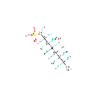 O=S(=O)([O-])C(F)C(F)(F)C(F)(F)C(F)(F)C(F)(F)C(F)(F)C(F)(F)C(F)(F)F.[K+]